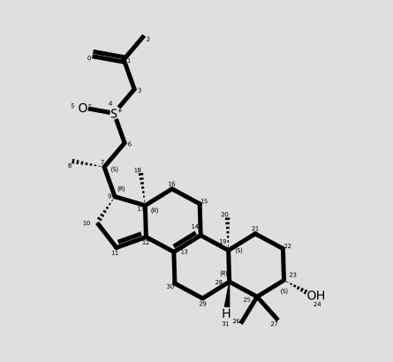 C=C(C)C[S+]([O-])C[C@@H](C)[C@H]1CC=C2C3=C(CC[C@@]21C)[C@@]1(C)CC[C@H](O)C(C)(C)[C@@H]1CC3